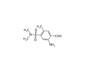 Cc1cc(C=O)c(N)cc1S(=O)(=O)N(C)C